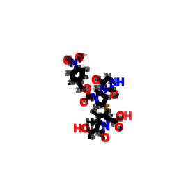 C[C@@H](O)[C@H]1C(=O)N2C(C(=O)O)=C(S[C@@H]3CN(C(=O)OCc4ccc([N+](=O)[O-])cc4)[C@](C)(N4C(=O)CNC4=O)C3)[C@H](C)[C@H]12